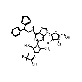 CC1CCC(C)N1c1nc(NCC(c2ccccc2)c2ccccc2)c2ncn([C@@H]3O[C@H](CO)[C@@H](O)[C@H]3O)c2n1.O=C(O)C(F)(F)F